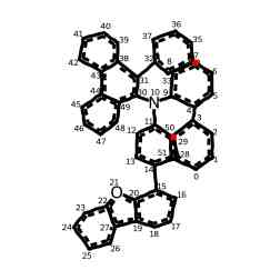 c1ccc(-c2ccccc2N(c2ccc(-c3cccc4c3oc3ccccc34)cc2)c2c(-c3ccccc3)c3ccccc3c3ccccc23)cc1